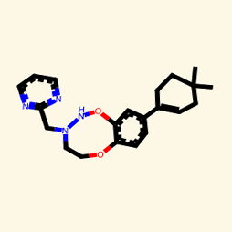 CC1(C)CC=C(c2ccc3c(c2)ONN(Cc2ncccn2)CCO3)CC1